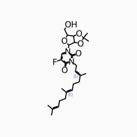 CC(C)=CCC/C(C)=C/CC/C(C)=C/Cn1c(=O)c(F)cn(C2OC(CO)C3OC(C)(C)OC32)c1=O